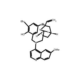 C=C[C@H]1C[C@@H]2CC[N@@]1[C@@H](CN(Cc1cc(C(C)(C)C)cc(C(C)(C)C)c1O)c1ccnc3ccc(OC)cc13)C2